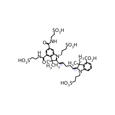 CC1(C)C(/C=C/CC/C=C2/N(CCCS(=O)(=O)O)c3cccc(C(=O)O)c3C2(C)C)=[N+](CCCS(=O)(=O)O)c2cc(C(=O)NCCS(=O)(=O)O)cc(C(=O)NCCS(=O)(=O)O)c21